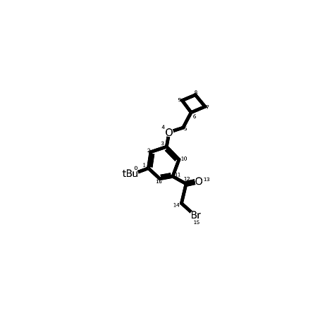 CC(C)(C)c1cc(OCC2CCC2)cc(C(=O)CBr)c1